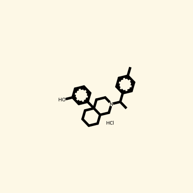 Cc1ccc(C(C)N2CCC3(c4cccc(O)c4)CCCCC3C2)cc1.Cl